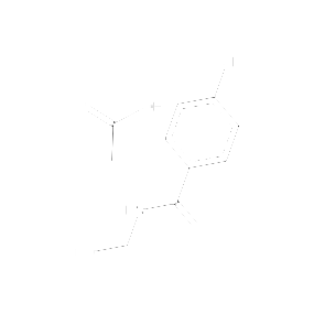 CC(=O)O.O=C(NCO)c1ccc(Cl)cc1